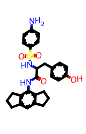 Nc1ccc(S(=O)(=O)NC(Cc2ccc(O)cc2)C(=O)Nc2c3c(cc4c2CCC4)CCC3)cc1